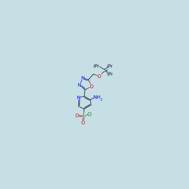 CC(C)[Si](OCc1nnc(-c2ncc(S(=O)(=O)Cl)cc2N)o1)(C(C)C)C(C)C